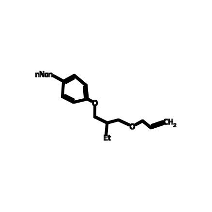 C=CCOCC(CC)COc1ccc(CCCCCCCCC)cc1